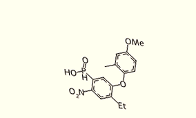 CCc1cc([N+](=O)[O-])c([PH](=O)O)cc1Oc1ccc(OC)cc1C